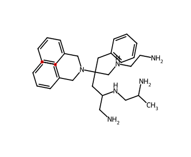 CC(N)CNC(CN)CC(CNCCN)(Cc1ccccc1)N(Cc1ccccc1)Cc1ccccc1